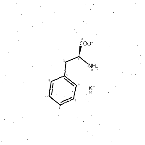 N[C@@H](Cc1ccccc1)C(=O)[O-].[K+]